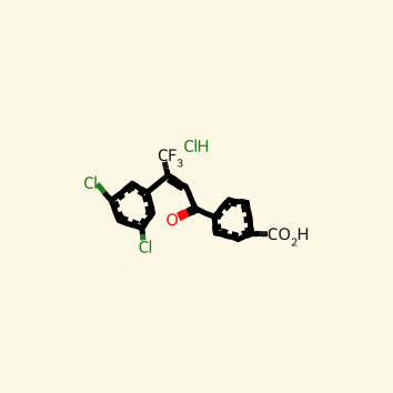 Cl.O=C(O)c1ccc(C(=O)C=C(c2cc(Cl)cc(Cl)c2)C(F)(F)F)cc1